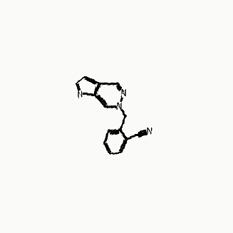 N#Cc1ccccc1Cn1cc2nccc-2cn1